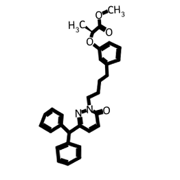 COC(=O)[C@H](C)Oc1cccc(CCCCn2nc(C(c3ccccc3)c3ccccc3)ccc2=O)c1